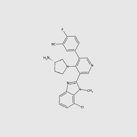 Cn1c(-c2cncc(-c3ccc(F)c(C#N)c3)c2N2CC[C@H](N)C2)nc2cccc(Cl)c21